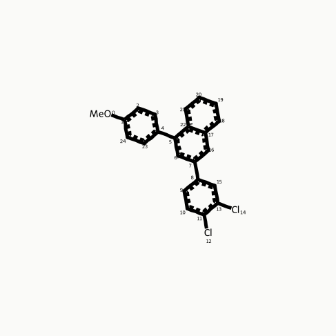 COc1ccc(-c2[c]c(-c3ccc(Cl)c(Cl)c3)cc3ccccc23)cc1